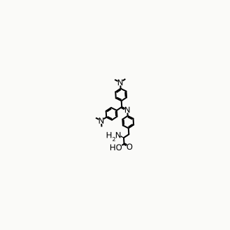 CN(C)c1ccc(C(=Nc2ccc(C[C@H](N)C(=O)O)cc2)c2ccc(N(C)C)cc2)cc1